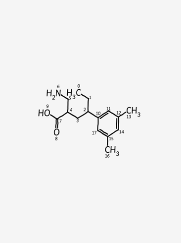 CCC(CC(CN)C(=O)O)c1cc(C)cc(C)c1